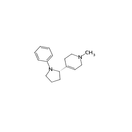 CN1CC=C([C@@H]2CCCN2c2ccccc2)CC1